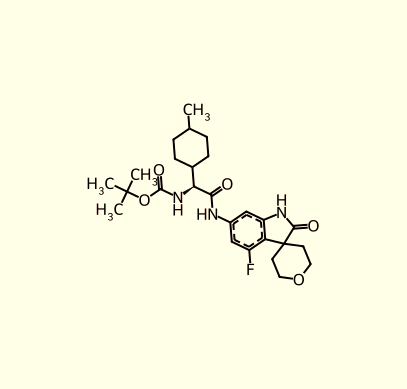 CC1CCC([C@H](NC(=O)OC(C)(C)C)C(=O)Nc2cc(F)c3c(c2)NC(=O)C32CCOCC2)CC1